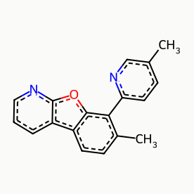 Cc1ccc(-c2c(C)ccc3c2oc2ncccc23)nc1